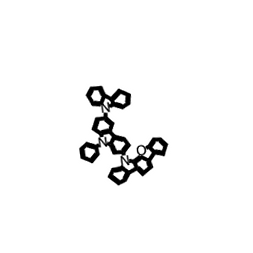 c1ccc(-n2c3ccc(-n4c5ccccc5c5ccccc54)cc3c3ccc(-n4c5ccccc5c5ccc6c7ccccc7oc6c54)cc32)cc1